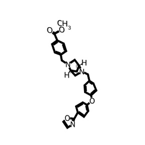 COC(=O)c1ccc(CN2C[C@@H]3C[C@H]2CN3Cc2ccc(Oc3ccc(-c4ncco4)cc3)cc2)cc1